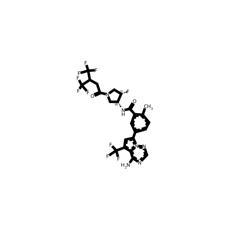 Cc1ccc(-c2cc(C(F)(F)F)c3c(N)ncnn23)cc1C(=O)N[C@@H]1CN(C(=O)CC(C(F)(F)F)C(F)(F)F)C[C@@H]1F